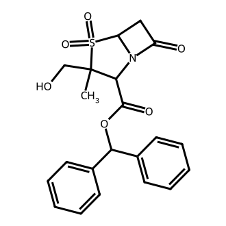 CC1(CO)C(C(=O)OC(c2ccccc2)c2ccccc2)N2C(=O)CC2S1(=O)=O